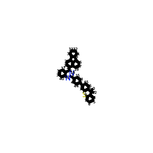 CC1(C)c2ccccc2Sc2cc(-c3ccc(-c4nc(-c5ccc6c7c(cccc57)-c5ccccc5-6)c5ccccc5n4)cc3)ccc21